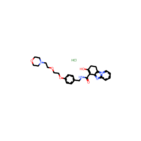 Cl.O=C(NCc1ccc(OCCOCCN2CCOCC2)cc1)C1=C(O)CCc2c1nc1ccccn21